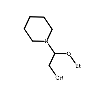 CCOC(CO)N1CCCCC1